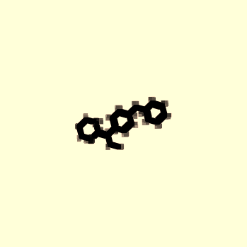 CCC(=C1SCCCS1)c1ccc(Cc2ccccc2)cc1